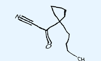 CCCC1(C(=O)C#N)CC1